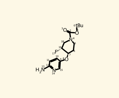 CC(C)(C)OC(=O)N1CC[C@@H](Oc2ccc(N)nc2)[C@H](F)C1